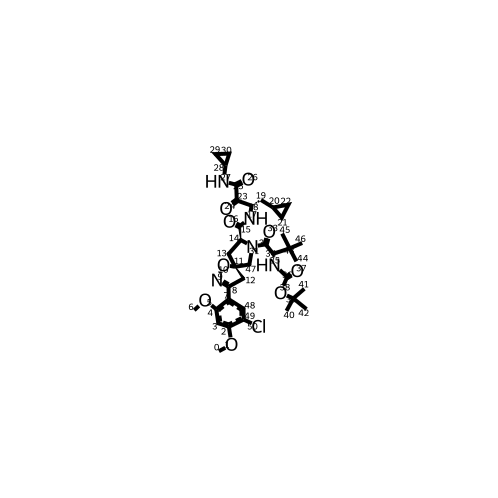 COc1cc(OC)c(C2=NO[C@]3(C2)C[C@@H](C(=O)N[C@@H](CC2CC2)C(=O)C(=O)NC2CC2)N(C(=O)[C@@H](NC(=O)OC(C)(C)C)C(C)(C)C)C3)cc1Cl